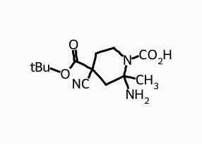 CC(C)(C)OC(=O)C1(C#N)CCN(C(=O)O)C(C)(N)C1